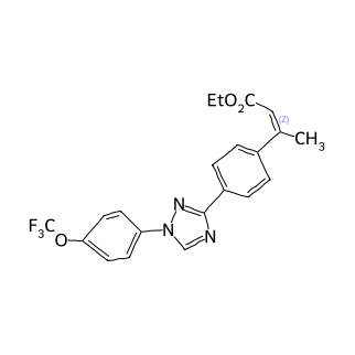 CCOC(=O)/C=C(/C)c1ccc(-c2ncn(-c3ccc(OC(F)(F)F)cc3)n2)cc1